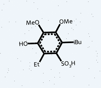 CCc1c(O)c(OC)c(OC)c(C(C)CC)c1S(=O)(=O)O